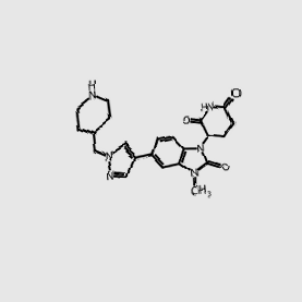 Cn1c(=O)n(C2CCC(=O)NC2=O)c2ccc(-c3cnn(CC4CCNCC4)c3)cc21